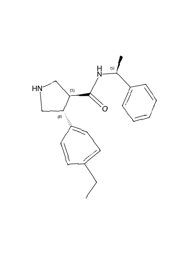 CCc1ccc([C@@H]2CNC[C@H]2C(=O)N[C@@H](C)c2ccccc2)cc1